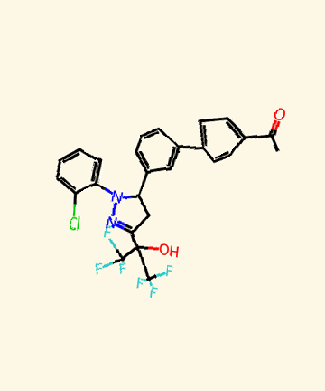 CC(=O)c1ccc(-c2cccc(C3CC(C(O)(C(F)(F)F)C(F)(F)F)=NN3c3ccccc3Cl)c2)cc1